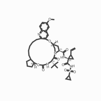 C=CC1C[C@]1(NC(=O)[C@@H]1C[C@@H]2CN1C(=O)[C@H](C(C)(C)C)NC(=O)O[C@@H]1CCCC1CCCCCc1nc3ccc(OC)cc3cc1O2)C(=O)NS(=O)(=O)C1CC1